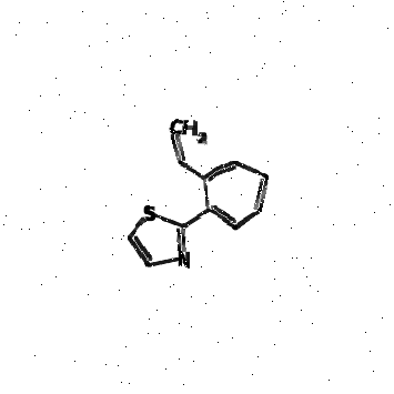 C=Cc1ccccc1-c1nccs1